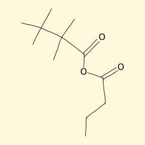 CCCC(=O)OC(=O)C(C)(C)C(C)(C)C